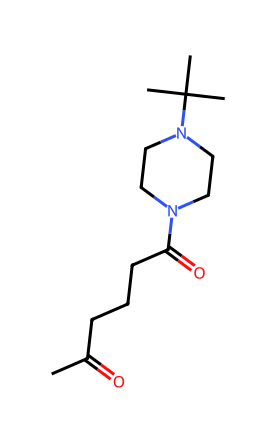 CC(=O)CCCC(=O)N1CCN(C(C)(C)C)CC1